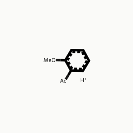 COc1ccccc1C(C)=O.[H+]